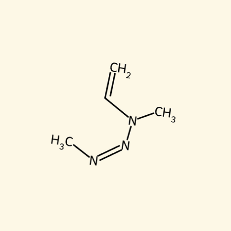 C=CN(C)/N=N\C